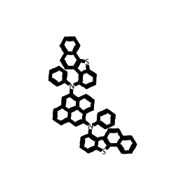 c1ccc(N(c2cc3cccc4cc(N(c5ccccc5)c5cccc6sc7c8ccccc8ccc7c56)c5cccc2c5c34)c2cccc3sc4c5ccccc5ccc4c23)cc1